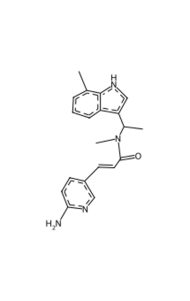 Cc1cccc2c(C(C)N(C)C(=O)/C=C/c3ccc(N)nc3)c[nH]c12